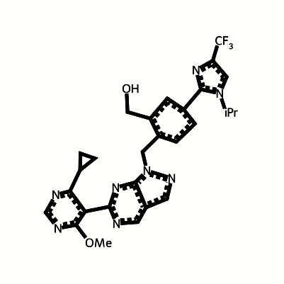 COc1ncnc(C2CC2)c1-c1ncc2cnn(Cc3ccc(-c4nc(C(F)(F)F)cn4C(C)C)cc3CO)c2n1